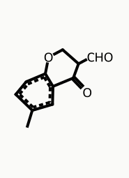 Cc1ccc2c(c1)C(=O)C(C=O)CO2